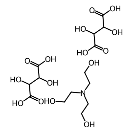 O=C(O)C(O)C(O)C(=O)O.O=C(O)C(O)C(O)C(=O)O.OCCN(CCO)CCO